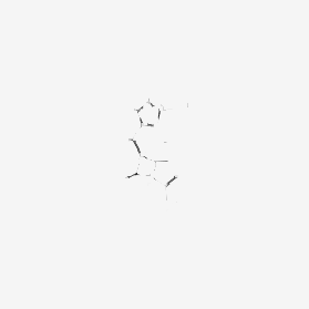 O=C(O)C1=CS[C@@H]2C(=Cc3ccc(C(=O)O)o3)C(=O)N12